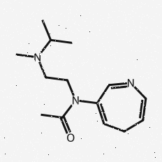 CC(=O)N(CCN(C)C(C)C)C1=CCC=CN=C1